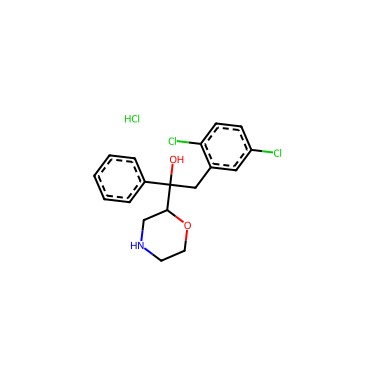 Cl.OC(Cc1cc(Cl)ccc1Cl)(c1ccccc1)C1CNCCO1